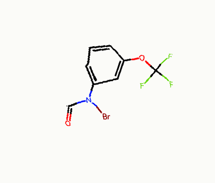 O=[C]N(Br)c1cccc(OC(F)(F)F)c1